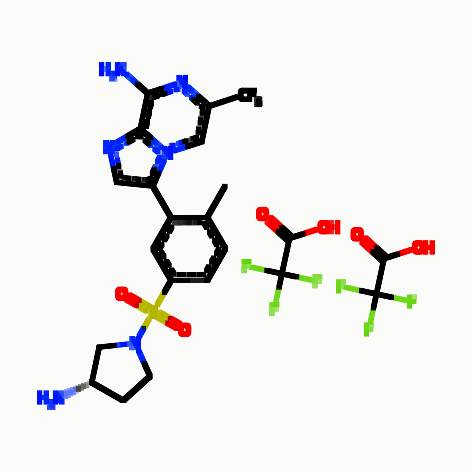 Cc1ccc(S(=O)(=O)N2CC[C@H](N)C2)cc1-c1cnc2c(N)nc(C(F)(F)F)cn12.O=C(O)C(F)(F)F.O=C(O)C(F)(F)F